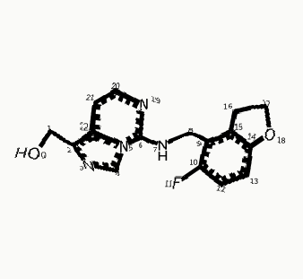 OCc1ncn2c(NCc3c(F)ccc4c3CCO4)nccc12